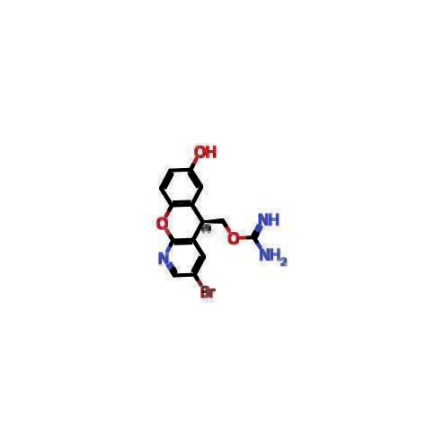 N=C(N)OC[C@@H]1c2cc(O)ccc2Oc2ncc(Br)cc21